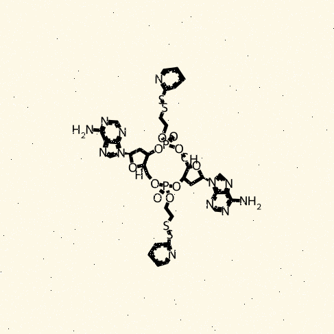 Nc1ncnc2c1ncn2[C@H]1CC2OP(=O)(OCCSSc3ccccn3)OC[C@H]3O[C@@H](n4cnc5c(N)ncnc54)CC3OP(=O)(OCCSSc3ccccn3)OC[C@H]2O1